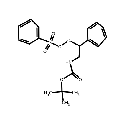 CC(C)(C)OC(=O)NCC(OOS(=O)(=O)c1ccccc1)c1ccccc1